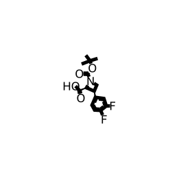 CC(C)(C)OC(=O)N1C[C@@H](c2ccc(F)c(F)c2)[C@H]1C(=O)O